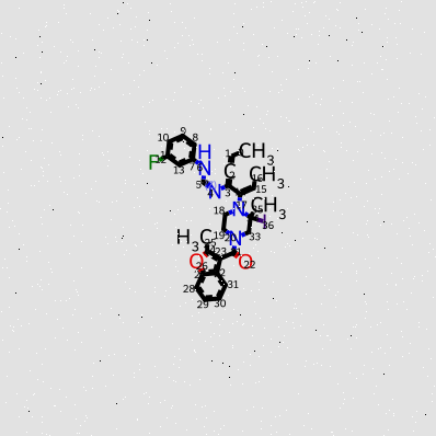 CC=C=C(/N=C\Nc1cccc(F)c1)C(=CC)N1CCN(C(=O)c2c(C)oc3ccccc23)CC1(C)I